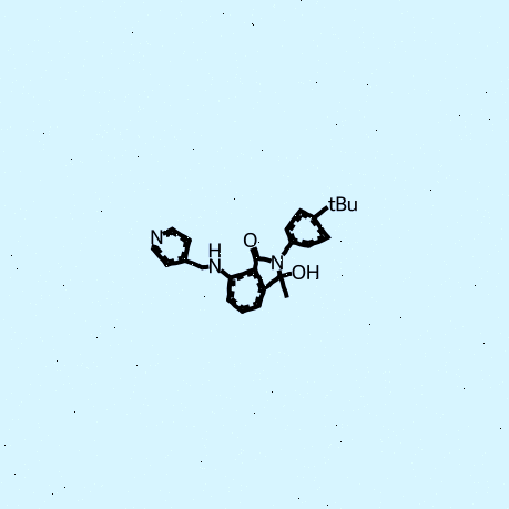 CC(C)(C)c1ccc(N2C(=O)c3c(NCc4ccncc4)cccc3C2(C)O)cc1